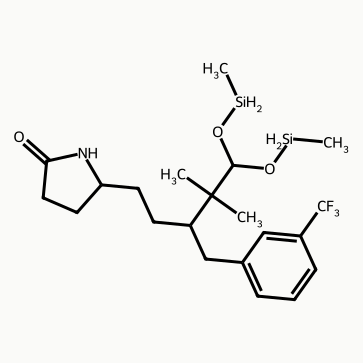 C[SiH2]OC(O[SiH2]C)C(C)(C)C(CCC1CCC(=O)N1)Cc1cccc(C(F)(F)F)c1